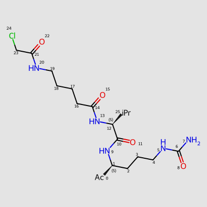 CC(=O)[C@H](CCCNC(N)=O)NC(=O)[C@@H](NC(=O)CCCCNC(=O)CCl)C(C)C